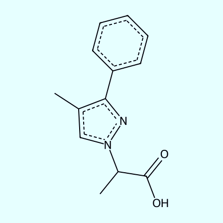 Cc1cn(C(C)C(=O)O)nc1-c1ccccc1